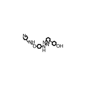 Oc1ccc(-c2cccc3nc(Nc4ccc(OCCNCc5ccncc5)cc4)nn23)cc1